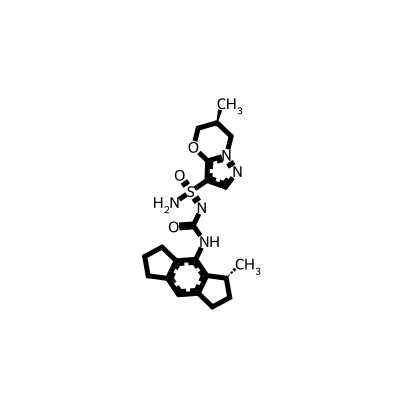 C[C@@H]1COc2c(S(N)(=O)=NC(=O)Nc3c4c(cc5c3[C@H](C)CC5)CCC4)cnn2C1